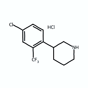 Cl.FC(F)(F)c1cc(Cl)ccc1C1CCCNC1